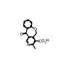 Cc1ncc2c(c1C(=O)O)COc1ccccc1C2=O